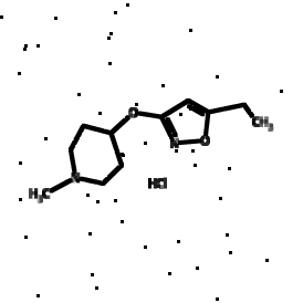 CCc1cc(OC2CCN(C)CC2)no1.Cl